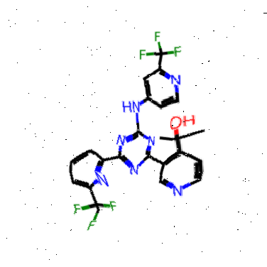 CC(C)(O)c1ccncc1-c1nc(Nc2ccnc(C(F)(F)F)c2)nc(-c2cccc(C(F)(F)F)n2)n1